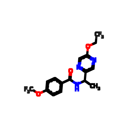 CC(NC(=O)c1ccc(OC(F)(F)F)cc1)c1cnc(OCC(F)(F)F)cn1